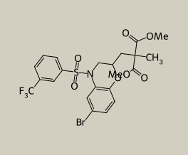 COC(=O)C(C)(CC1CN(S(=O)(=O)c2cccc(C(F)(F)F)c2)c2cc(Br)ccc2O1)C(=O)OC